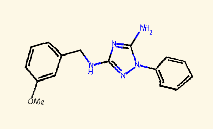 COc1cccc(CNc2nc(N)n(-c3ccccc3)n2)c1